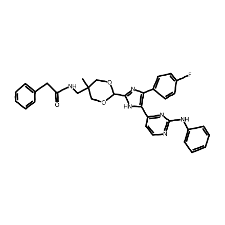 CC1(CNC(=O)Cc2ccccc2)COC(c2nc(-c3ccc(F)cc3)c(-c3ccnc(Nc4ccccc4)n3)[nH]2)OC1